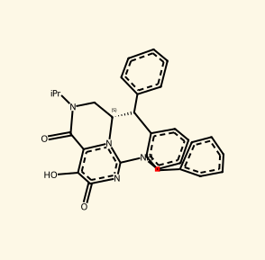 CC(C)N1C[C@H](C(c2ccccc2)c2ccccc2)n2c(NCc3ccccc3)nc(=O)c(O)c2C1=O